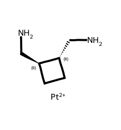 NC[C@@H]1CC[C@H]1CN.[Pt+2]